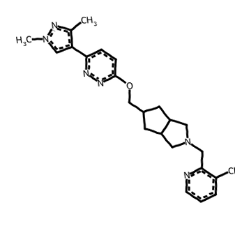 Cc1cccnc1CN1CC2CC(COc3ccc(-c4cn(C)nc4C)nn3)CC2C1